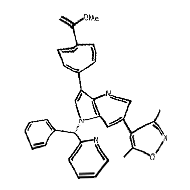 C=C(OC)c1ccc(-c2cn([C@@H](c3ccccc3)c3ccccn3)c3cc(-c4c(C)noc4C)cnc23)cc1